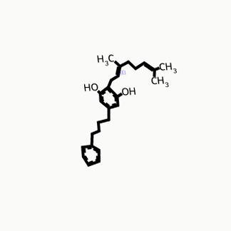 CC(C)=CCC/C(C)=C/Cc1c(O)cc(CCCCc2ccccc2)cc1O